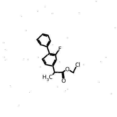 CC(C(=O)OCCl)c1ccc(-c2ccccc2)c(F)c1